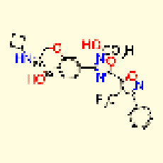 O=C(O)O.O[C@H]1c2ccc(-c3noc(-c4onc(-c5ccccc5)c4C(F)(F)F)n3)cc2OC[C@H]1NC1CCC1